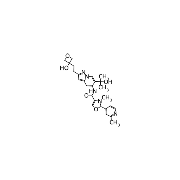 Cc1cc(C2OC=C(C(=O)Nc3cc4cc(CCC5(O)COC5)nn4cc3C(C)(C)O)N2C)ccn1